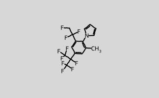 Cc1cc(C(F)(C(F)(F)F)C(F)(F)F)cc(C(F)(F)CF)c1-n1cccc1